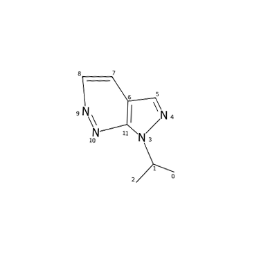 CC(C)n1ncc2ccnnc21